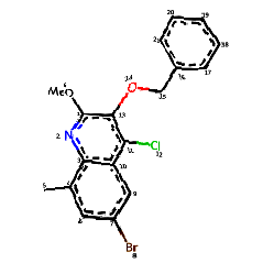 COc1nc2c(C)cc(Br)cc2c(Cl)c1OCc1ccccc1